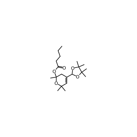 CCCCC(=O)OC1(C)CC(C2OC(C)(C)C(C)(C)O2)=CC(C)(C)O1